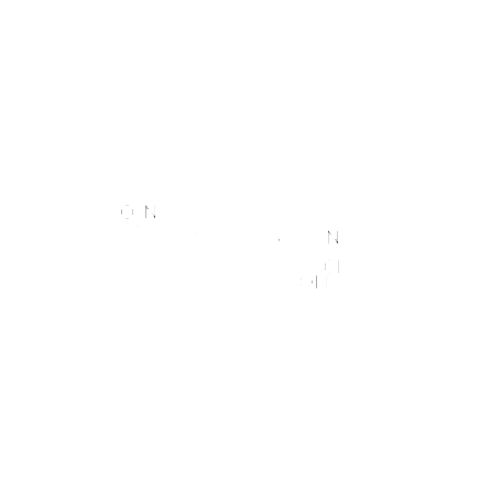 CC(O)(COc1ccc(-c2ccc([N+](=O)[O-])cc2)cc1)CN1CCCCC1